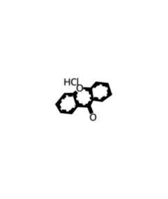 Cl.O=c1c2ccccc2oc2ccccc12